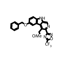 COCc1c(-c2noc(C(F)(F)F)n2)ncc2[nH]c3ccc(OCc4ccccc4)cc3c12